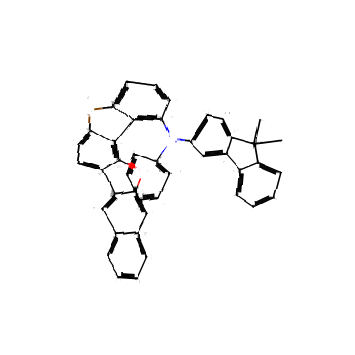 CC1(C)c2ccccc2-c2cc(N(c3ccccc3)c3cccc4sc5ccc6c7cc8ccccc8cc7oc6c5c34)ccc21